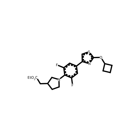 CCOC(=O)CC1CCN(c2c(F)cc(-c3csc(OC4CCC4)n3)cc2F)C1